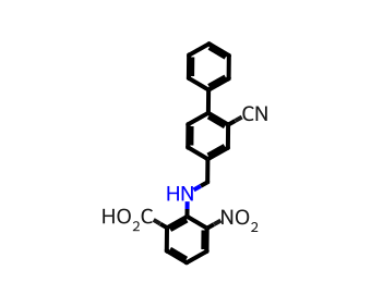 N#Cc1cc(CNc2c(C(=O)O)cccc2[N+](=O)[O-])ccc1-c1ccccc1